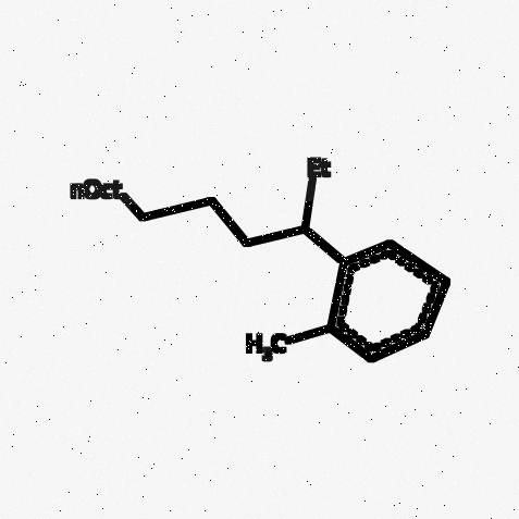 [CH2]CC(CCCCCCCCCCC)c1ccccc1C